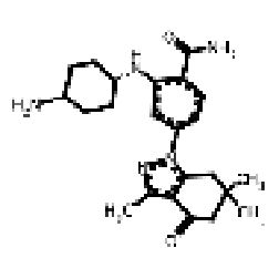 Cc1nn(-c2ccc(C(N)=O)c(N[C@H]3CC[C@H](N)CC3)c2)c2c1C(=O)CC(C)(C)C2